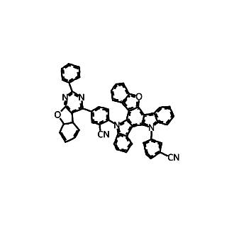 N#Cc1cccc(-n2c3ccccc3c3c4oc5ccccc5c4c4c(c5ccccc5n4-c4ccc(-c5nc(-c6ccccc6)nc6c5C5C=CC=CC5O6)cc4C#N)c32)c1